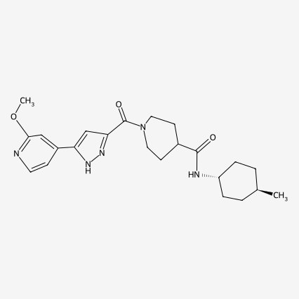 COc1cc(-c2cc(C(=O)N3CCC(C(=O)N[C@H]4CC[C@H](C)CC4)CC3)n[nH]2)ccn1